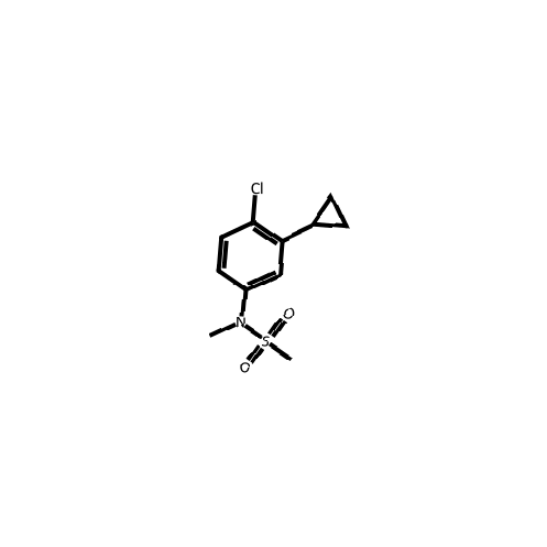 CN(c1ccc(Cl)c(C2CC2)c1)S(C)(=O)=O